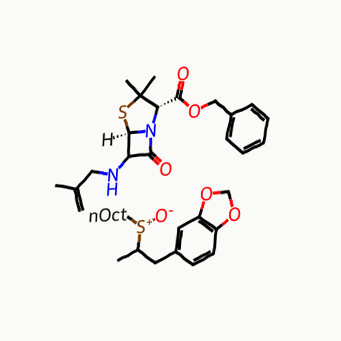 C=C(C)CNC1C(=O)N2[C@@H]1SC(C)(C)[C@@H]2C(=O)OCc1ccccc1.CCCCCCCC[S+]([O-])C(C)Cc1ccc2c(c1)OCO2